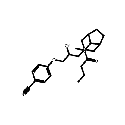 CCCC(=O)N(C)C1C2CCC1CN(CC(O)COc1ccc(C#N)cc1)C2